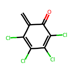 C=C1C(=O)C(Cl)=C(Cl)C(Cl)=C1Cl